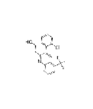 OCCc1nc2cccc(C(F)(F)F)c2nc1-c1ccccc1Cl